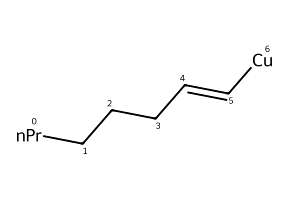 CCCCCC/C=[CH]/[Cu]